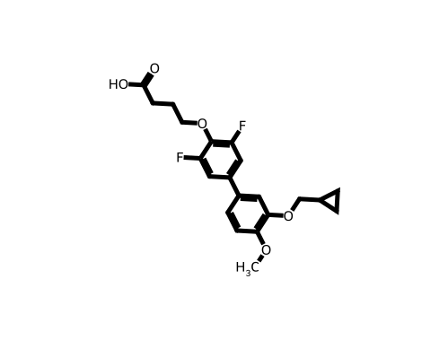 COc1ccc(-c2cc(F)c(OCCCC(=O)O)c(F)c2)cc1OCC1CC1